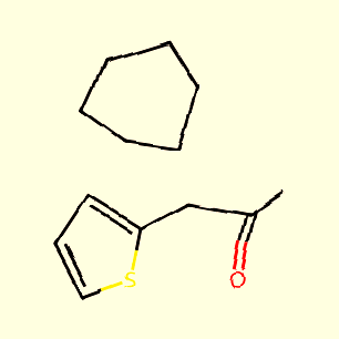 C1CCCCC1.CC(=O)Cc1cccs1